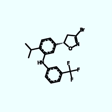 CC(C)c1ccc([C@@H]2CC(Br)=NO2)cc1Nc1cccc(C(F)(F)F)c1